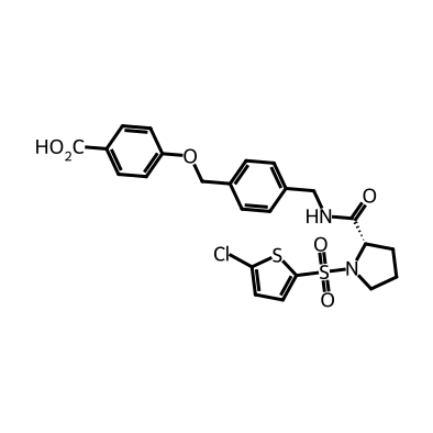 O=C(O)c1ccc(OCc2ccc(CNC(=O)[C@@H]3CCCN3S(=O)(=O)c3ccc(Cl)s3)cc2)cc1